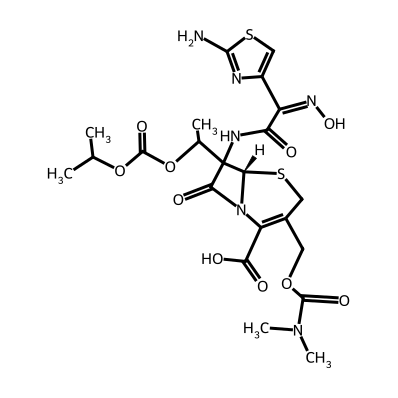 CC(C)OC(=O)OC(C)C1(NC(=O)/C(=N\O)c2csc(N)n2)C(=O)N2C(C(=O)O)=C(COC(=O)N(C)C)CS[C@H]21